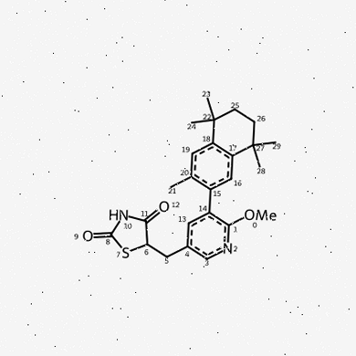 COc1ncc(CC2SC(=O)NC2=O)cc1-c1cc2c(cc1C)C(C)(C)CCC2(C)C